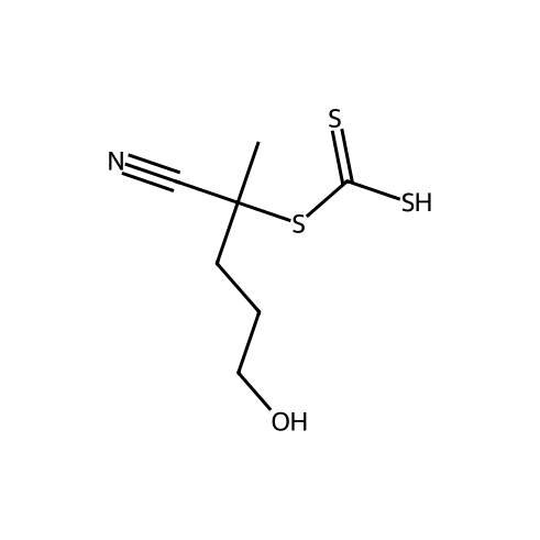 CC(C#N)(CCCO)SC(=S)S